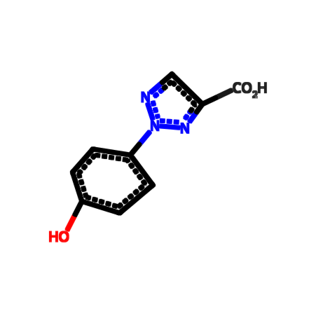 O=C(O)c1cnn(-c2ccc(O)cc2)n1